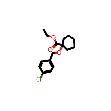 CCOC(=O)C1(OCc2ccc(Cl)cc2)CCCCC1